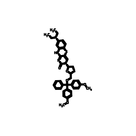 CCN(CC)c1ccc2c(c1)Nc1nc(=O)n(C3CSC(COC(c4ccccc4)(c4ccc(OC)cc4)c4ccc(OC)cc4)O3)cc1S2